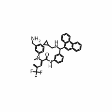 C=C(/C=C(/C(=O)Nc1cccc(C(NCC2CC2)c2cc3ccccc3c3ccccc23)c1)N(C)c1cccc(CN)c1)C(F)(F)F